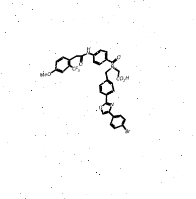 COc1ccc(CC(=O)Nc2ccc(C(=O)N(CC(=O)O)Cc3ccc(-c4nc(-c5ccc(Br)cc5)co4)cc3)cc2)c(C(F)(F)F)c1